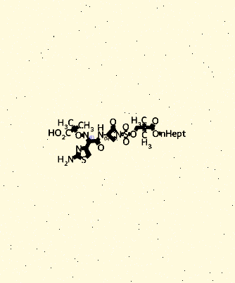 CCCCCCCOC(=O)C(C)(C)COS(=O)(=O)N1C[C@H](NC(=O)/C(=N/OC(C)(C)C(=O)O)c2csc(N)n2)C1=O